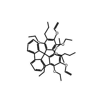 C=COc1c(CCC)c(OCC)c(C2(c3c(OCC)c(CCC)c(OC=C)c(OCC)c3OCC)c3ccccc3-c3ccccc32)c(OCC)c1OCC